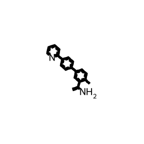 C=C(N)c1cc(-c2ccc(-c3ccccn3)cc2)ccc1C